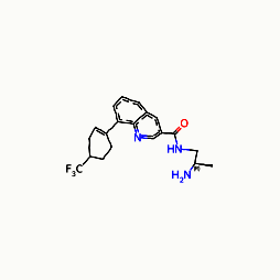 C[C@@H](N)CNC(=O)c1cnc2c(C3=CCC(C(F)(F)F)CC3)cccc2c1